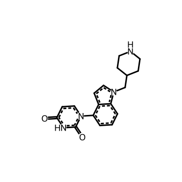 O=c1ccn(-c2cccc3c2ccn3CC2CCNCC2)c(=O)[nH]1